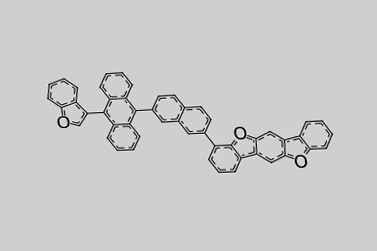 c1ccc2c(-c3c4ccccc4c(-c4ccc5ccc(-c6cccc7c6oc6cc8c(cc67)oc6ccccc68)cc5c4)c4ccccc34)coc2c1